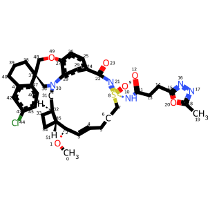 CO[C@H]1/C=C/CCC[S@@](=O)(NC(=O)CCc2nnc(C)o2)=NC(=O)c2ccc3c(c2)N(C[C@@H]2CC[C@H]21)C[C@@]1(CCCc2cc(Cl)ccc21)CO3